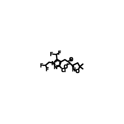 CC1(C)CC(S(=O)(=O)Cc2c(Cl)nn(CC(F)F)c2C(F)F)=NO1